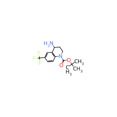 CC(C)(C)OC(=O)N1CCC(N)c2cc(C(F)(F)F)ccc21